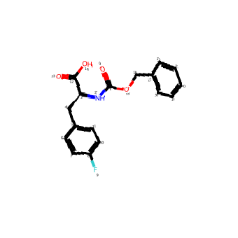 O=C(N[C@@H](Cc1ccc(F)cc1)C(=O)O)OCc1ccccc1